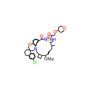 COC1/C=C/CC(C)C(C)S(=O)(NC(=O)COC2CCOCC2)=NC(=O)c2ccc3c(c2)N(CC2CCC21)CC1(CCCc2cc(Cl)ccc21)CO3